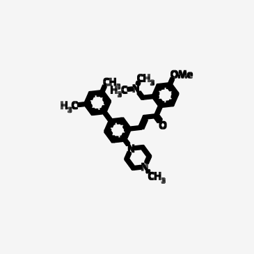 COc1ccc(C(=O)C=Cc2cc(-c3cc(C)cc(C)c3)ccc2N2CCN(C)CC2)c(CN(C)C)c1